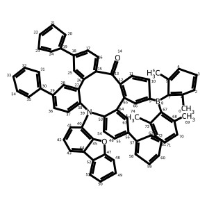 Cc1cccc(C)c1B(c1ccc2c(=O)c3ccc(-c4ccccc4)cc3c3cc(-c4ccccc4)ccc3n(-c3cccc4c3oc3ccccc34)c3ccc(-c4ccccc4)cc3c2c1)c1c(C)cccc1C